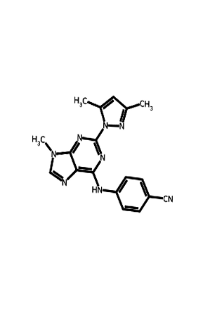 Cc1cc(C)n(-c2nc(Nc3ccc(C#N)cc3)c3ncn(C)c3n2)n1